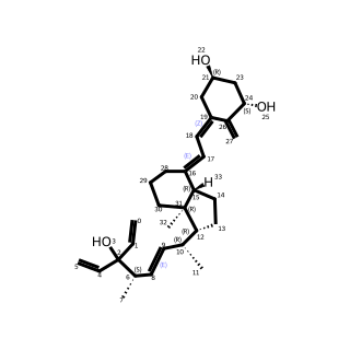 C=CC(O)(C=C)[C@@H](C)/C=C/[C@@H](C)[C@H]1CC[C@H]2/C(=C/C=C3/C[C@@H](O)C[C@H](O)C3=C)CCC[C@]12C